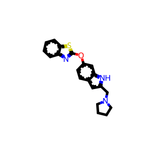 c1ccc2sc(Oc3ccc4cc(CN5CCCC5)[nH]c4c3)nc2c1